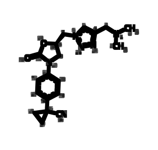 CN(C)Cc1cn(C[C@H]2CN(c3ccc(C4(C#N)CC4)cc3)C(=O)O2)nn1